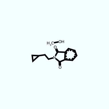 CO.O=C1c2ccccc2C(=O)N1CCC1CC1